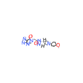 COc1ccc(N2C[C@@H]3[C@H](C2)[C@H]3c2noc(Cn3cnc4ncn(C)c4c3=O)n2)cc1